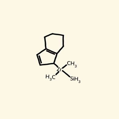 [CH3][Zr]([CH3])([SiH3])[CH]1C=CC2=C1CCCC2